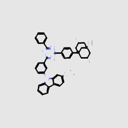 C[C@@H]1C[C@@H]2C[C@H](C)CC(c3ccc(-c4nc(-c5ccccc5)nc(-c5cccc(-n6c7ccccc7c7ccc(C#N)cc76)c5)n4)cc3)(C1)C2